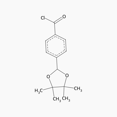 CC1(C)OC(c2ccc(C(=O)Cl)cc2)OC1(C)C